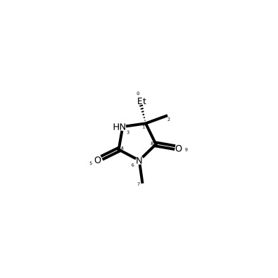 CC[C@@]1(C)NC(=O)N(C)C1=O